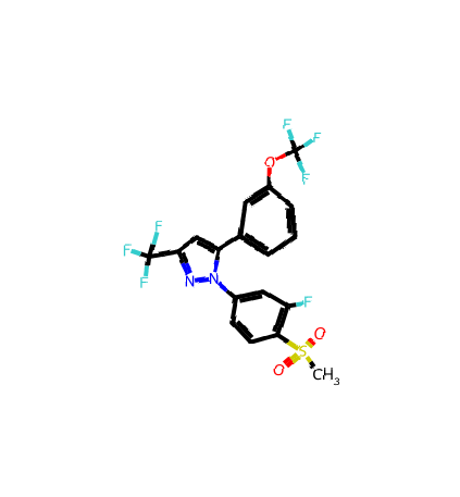 CS(=O)(=O)c1ccc(-n2nc(C(F)(F)F)cc2-c2cccc(OC(F)(F)F)c2)cc1F